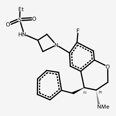 CCS(=O)(=O)NC1CN(c2cc3c(cc2F)OC[C@H](NC)[C@H]3Cc2ccccc2)C1